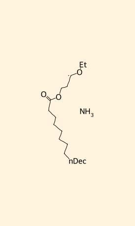 CCCCCCCCCCCCCCCCCC(=O)OCC[CH]OCC.N